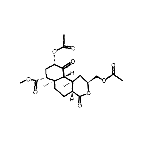 COC(=O)[C@@H]1C[C@H](OC(C)=O)C(=O)[C@H]2[C@@]1(C)CC[C@H]1C(=O)O[C@H](COC(C)=O)C[C@]21C